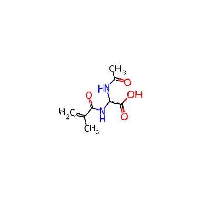 C=C(C)C(=O)NC(NC(C)=O)C(=O)O